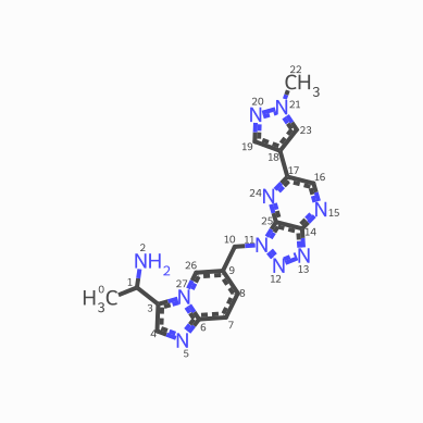 CC(N)c1cnc2ccc(Cn3nnc4ncc(-c5cnn(C)c5)nc43)cn12